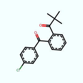 CC(C)(C)C(=O)c1ccccc1C(=O)c1ccc(Cl)cc1